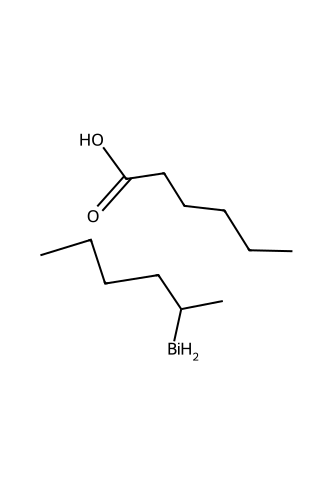 CCCCCC(=O)O.CCCC[CH](C)[BiH2]